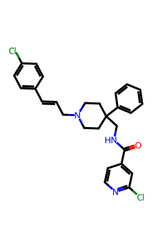 O=C(NCC1(c2ccccc2)CCN(C/C=C/c2ccc(Cl)cc2)CC1)c1ccnc(Cl)c1